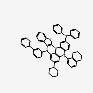 c1ccc(-c2cccc(N3c4cc(C5CCCCC5)cc5c4B(c4cc(N(c6ccccc6)c6ccccc6)ccc4N5c4cccc5c4CCCC5)c4oc5ccccc5c43)c2)cc1